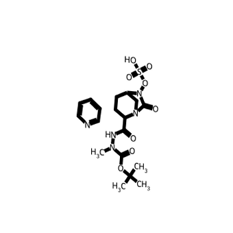 CN(NC(=O)C1CCC2CN1C(=O)N2OS(=O)(=O)O)C(=O)OC(C)(C)C.c1ccncc1